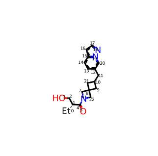 CC[C@H](CO)C(=O)N1CC2(CC(Cc3ccc4ccnn4c3)C2)C1